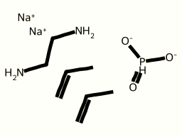 C=CC.C=CC.NCCN.O=[PH]([O-])[O-].[Na+].[Na+]